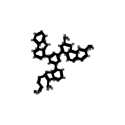 C=C/C=C\c1sc2c(-c3cc(-c4cc(C)nc5c4ccc4ccc(C)nc45)cc(-c4cccc5c4sc4ccccc45)c3)cccc2c1C